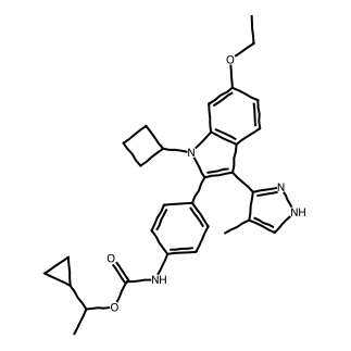 CCOc1ccc2c(-c3n[nH]cc3C)c(-c3ccc(NC(=O)OC(C)C4CC4)cc3)n(C3CCC3)c2c1